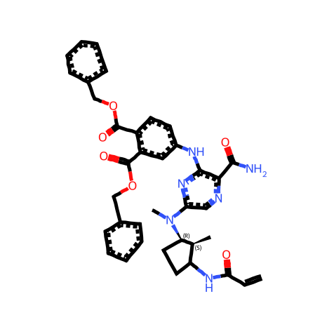 C=CC(=O)NC1CC[C@@H](N(C)c2cnc(C(N)=O)c(Nc3ccc(C(=O)OCc4ccccc4)c(C(=O)OCc4ccccc4)c3)n2)[C@H]1C